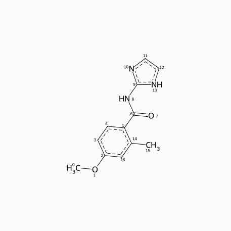 COc1ccc(C(=O)Nc2ncc[nH]2)c(C)c1